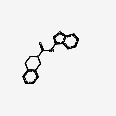 O=C(Nc1csc2ccccc12)N1CCc2ccccc2C1